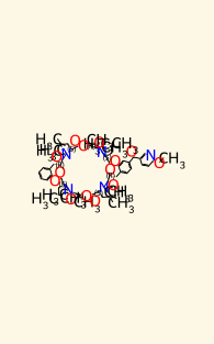 COc1ccc(C(=O)c2ccc(C[C@H]3OC(=O)[C@H](CC(C)C)N(C)C(=O)[C@@H](C)OC(=O)[C@H](CC(C)C)N(C)C(=O)[C@@H](Cc4ccccc4)OC(=O)[C@H](CC(C)C)N(C)C(=O)[C@@H](C)OC(=O)[C@H](CC(C)C)N(C)C3=O)cc2)cn1